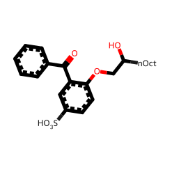 CCCCCCCCC(O)COc1ccc(S(=O)(=O)O)cc1C(=O)c1ccccc1